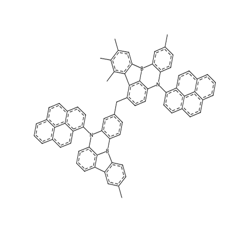 Cc1ccc2c(c1)B1c3cc(C)c(C)c(C)c3-c3c(Cc4ccc5c(c4)N(c4ccc6ccc7cccc8ccc4c6c78)c4cccc6c4B5c4ccc(C)cc4-6)ccc(c31)N2c1ccc2ccc3cccc4ccc1c2c34